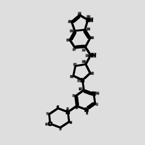 c1nc(N2CCOCC2)cc(N2CCC(Nc3ccc4cc[nH]c4c3)C2)n1